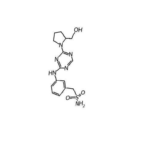 NS(=O)(=O)Cc1cccc(Nc2ncnc(N3CCCC3CO)n2)c1